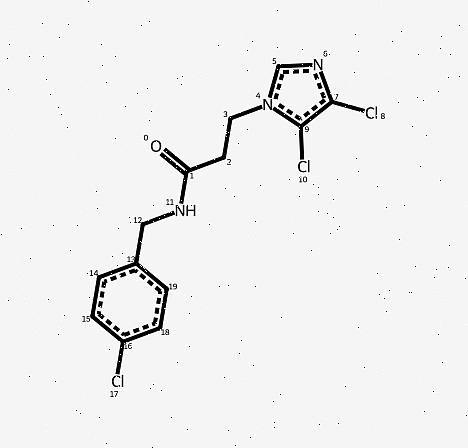 O=C(CCn1cnc(Cl)c1Cl)NCc1ccc(Cl)cc1